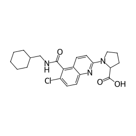 O=C(NCC1CCCCC1)c1c(Cl)ccc2nc(N3CCCC3C(=O)O)ccc12